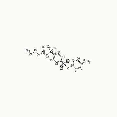 CC(C)c1ccc(CS(=O)(=O)c2ccc(C34CC3CN(CCCF)C4)cc2)cc1